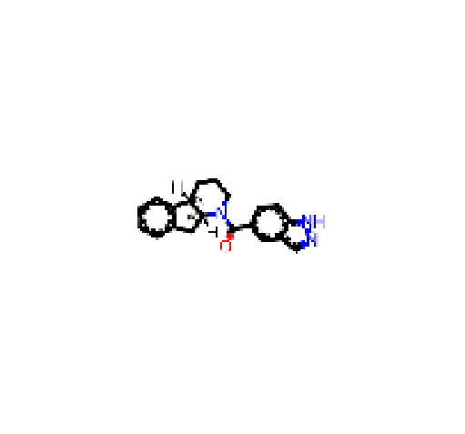 O=C(c1ccc2[nH]ncc2c1)N1CCC[C@H]2c3ccccc3C[C@H]21